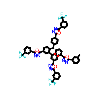 Cc1cccc(-c2nnc(-c3ccc([C@@H](c4ccc(-c5nnc(-c6cccc(C(F)(F)F)c6)o5)cc4)c4ccc(-c5nnc(-c6cccc(C(F)(F)F)c6)o5)cc4-c4cccc(-c5nnc(-c6cccc(C(F)(F)F)c6)o5)c4)cc3)o2)c1